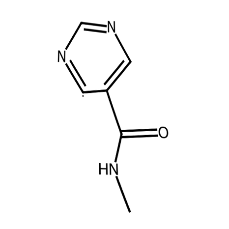 CNC(=O)c1[c]ncnc1